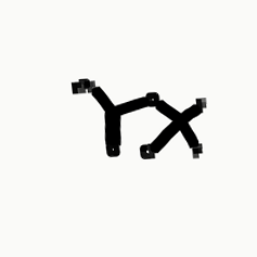 CCCC(=O)OC(F)(F)Cl